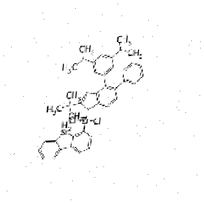 CC(C)c1cc(-c2c(-c3ccccc3)ccc3c2C=C(C(C)(C)C)[CH]3[Zr]([Cl])([Cl])[c]2cccc3c2[SiH2]c2ccccc2-3)cc(C(C)C)c1